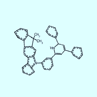 CC1(C)c2ccccc2-c2cc3c4ccccc4n(-c4cccc(C5=CC(c6ccccc6)=CC(c6ccccc6)N5)c4)c3cc21